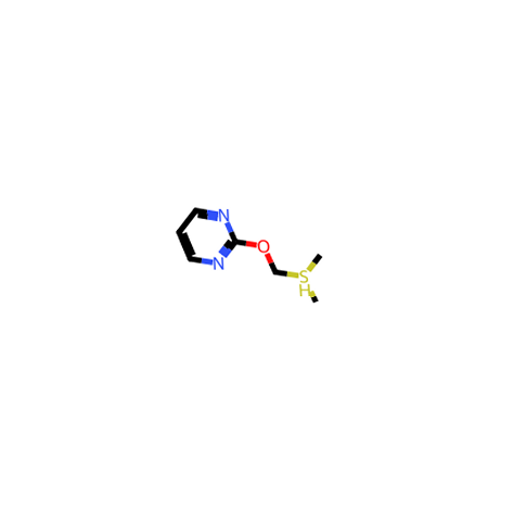 C[SH](C)COc1ncccn1